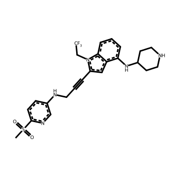 CS(=O)(=O)c1ccc(NCC#Cc2cc3c(NC4CCNCC4)cccc3n2CC(F)(F)F)cn1